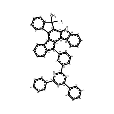 CC1(C)c2ccccc2-c2c1c1oc3ccccc3c1c1c2c2ccccc2n1-c1cccc(-c2nc(-c3ccccc3)nc(-c3ccccc3)n2)c1